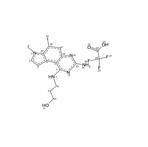 Cn1ccc2c3c(NCCCO)nc(N)nc3cc(I)c21.O=C(O)C(F)(F)F